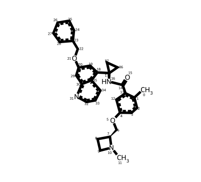 Cc1ccc(OC[C@@H]2CCN2C)cc1C(=O)NC1(c2cc(OCc3ccccc3)cc3ncccc23)CC1